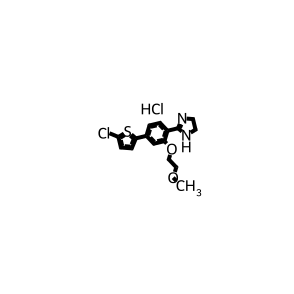 COCCOc1cc(-c2ccc(Cl)s2)ccc1C1=NCCN1.Cl